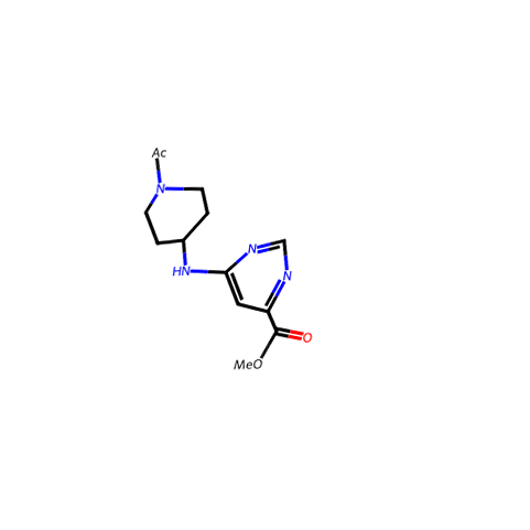 COC(=O)c1cc(NC2CCN(C(C)=O)CC2)ncn1